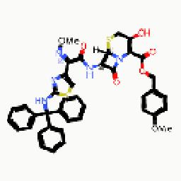 CO/N=C(\C(=O)N[C@@H]1C(=O)N2C(C(=O)OCc3ccc(OC)cc3)=C(O)CS[C@@H]12)c1csc(NC(c2ccccc2)(c2ccccc2)c2ccccc2)n1